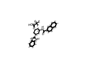 O=C(N[C@@H]1CCC[C@H](c2nc3ccccc3[nH]2)C1)c1ccc2ccccc2c1.O=C(O)C(F)(F)F